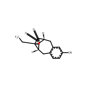 N#Cc1ccc2c(c1)C[C@H]1CC[C@@H](C2)[C@]12CN(CC(F)(F)F)S(=O)(=O)N2